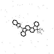 CC1(C)c2ccccc2-c2c1ccc1c2ccc2c1c1ccccc1n2-c1nc2ccccc2s1